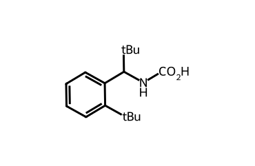 CC(C)(C)c1ccccc1C(NC(=O)O)C(C)(C)C